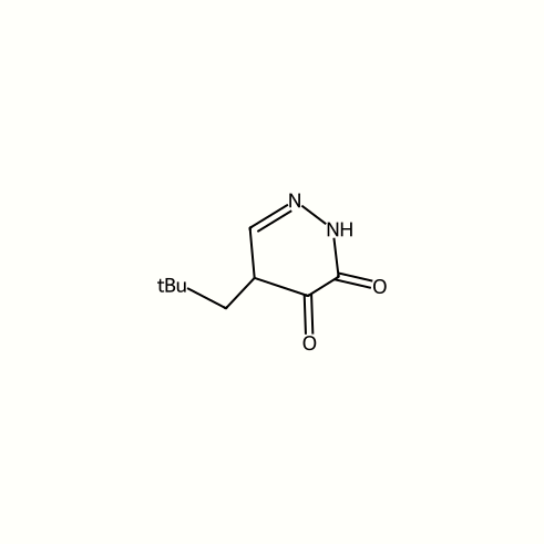 CC(C)(C)CC1C=NNC(=O)C1=O